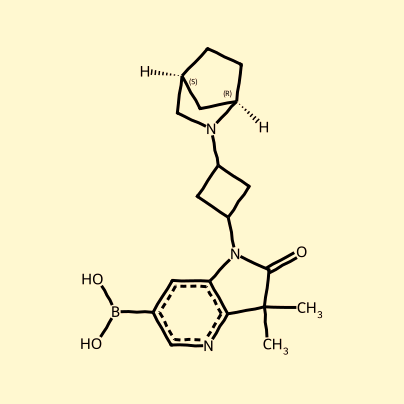 CC1(C)C(=O)N(C2CC(N3C[C@H]4CC[C@@H]3C4)C2)c2cc(B(O)O)cnc21